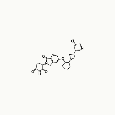 O=C1CC[C@@H](N2Cc3cc(O[C@@H]4CCCC[C@@H]4N4CC(c5cncc(Cl)c5)C4)ccc3C2=O)C(=O)N1